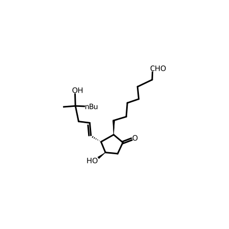 CCCCC(C)(O)C/C=C/[C@H]1[C@H](O)CC(=O)[C@@H]1CCCCCCC=O